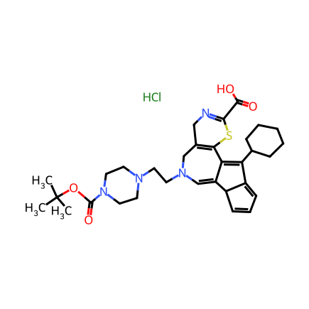 CC(C)(C)OC(=O)N1CCN(CCN2C=C3C(=C(C4CCCCC4)C4=CC=CC34)C3=C(CN=C(C(=O)O)S3)C2)CC1.Cl